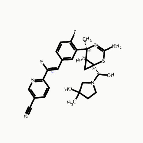 CC1(O)CCN(C(O)[C@]23C[C@H]2[C@@](C)(c2cc(/C=C(\F)c4ccc(C#N)cn4)ccc2F)N=C(N)S3)C1